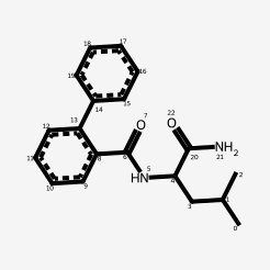 CC(C)CC(NC(=O)c1ccccc1-c1ccccc1)C(N)=O